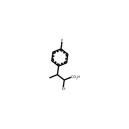 CCC(C(=O)O)C(C)c1[c]cc(F)cc1